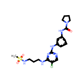 CS(=O)(=O)NCCCNc1nc(Nc2cccc(NC(=O)N3CCCC3)c2)ncc1Cl